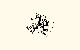 CC(C[O][Ti]([O]CC(C)N(C)C)([O]CC(C)N(C)C)[O]CC(C)N(C)C)N(C)C